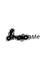 COc1ccc(S(=O)(=O)N2CCN(CCc3nc(OC4CCCC4)c4ccccc4n3)CC2)cc1